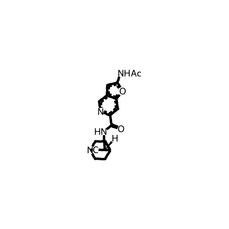 CC(=O)Nc1cc2cnc(C(=O)N[C@H]3CN4CCC3CC4)cc2o1